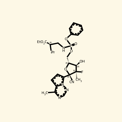 CCOC(=O)[C@@H](CNP(=O)(OC[C@H]1O[C@@](C#N)(c2ccc3c(C)ncnn23)[C@](C)(F)[C@@H]1O)Oc1ccccc1)C(C)C